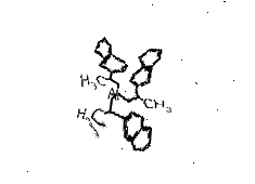 CC([CH2][Al]([CH2]C(C)c1ccc2ccccc2c1)[CH2]C(C)c1ccc2ccccc2c1)c1ccc2ccccc2c1